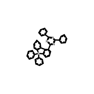 c1ccc(-c2nc(-c3ccccc3)nc(-c3cccc4c3-c3ccccc3S4(c3ccccc3)c3ccccc3)n2)cc1